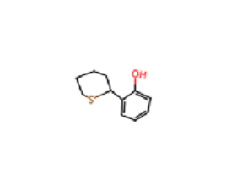 Oc1ccccc1C1CCCCS1